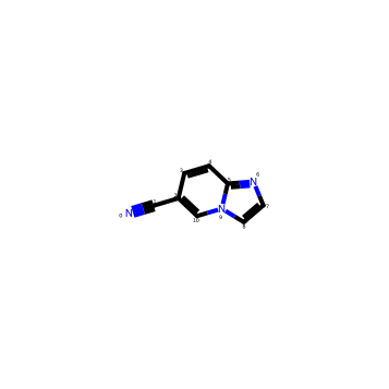 N#Cc1ccc2nc[c]n2c1